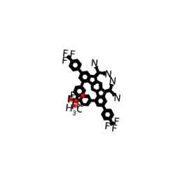 CC1C=C(c2cc(-c3ccc(C(F)(F)F)cc3)cc3c2C2CC4=C(C=C2C3=C(C#N)C#N)C(=C(C#N)C#N)c2cc(-c3ccc(C(F)(F)F)cc3)cc(-c3ccc(C(F)(F)F)cc3)c24)C=CC1C(F)(F)F